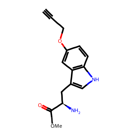 C#CCOc1ccc2[nH]cc(C[C@@H](N)C(=O)OC)c2c1